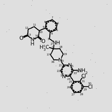 CC1(NCc2ccccc2C2CCC(=O)NC2=O)CCN(c2cnc(-c3cccc(Cl)c3Cl)c(N)n2)CC1